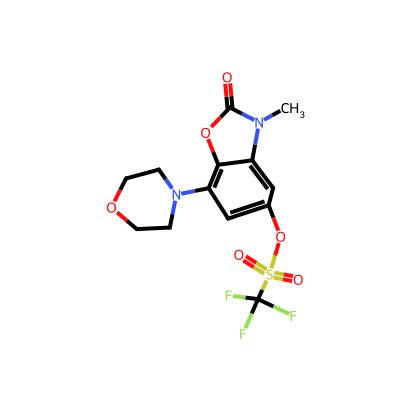 Cn1c(=O)oc2c(N3CCOCC3)cc(OS(=O)(=O)C(F)(F)F)cc21